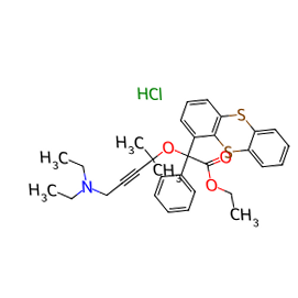 CCOC(=O)C(OC(C)(C)C#CCN(CC)CC)(c1ccccc1)c1cccc2c1Sc1ccccc1S2.Cl